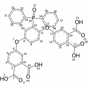 O=C(O)c1ccc(Oc2ccc(Oc3ccc(C(=O)O)c(C(=O)O)c3)c(P(=O)(c3ccccc3)c3ccccc3)c2)cc1C(=O)O